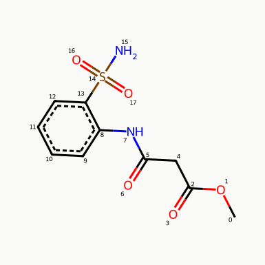 COC(=O)CC(=O)Nc1ccccc1S(N)(=O)=O